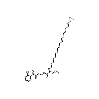 CCC=CCC=CCC=CCC=CCC=CCCCCO[C@H](CC)C(=O)OCCNC(=O)c1ccccc1O